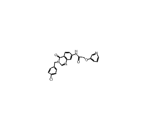 O=C(COc1cccnc1)Nc1ccc2c(=O)n(Cc3ccc(Cl)cc3)cnc2c1